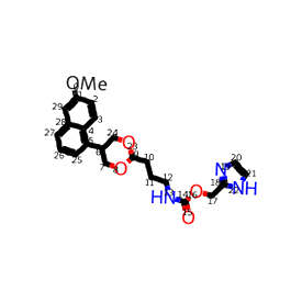 COc1ccc2c(C3COC(CCCNC(=O)OCc4ncc[nH]4)OC3)cccc2c1